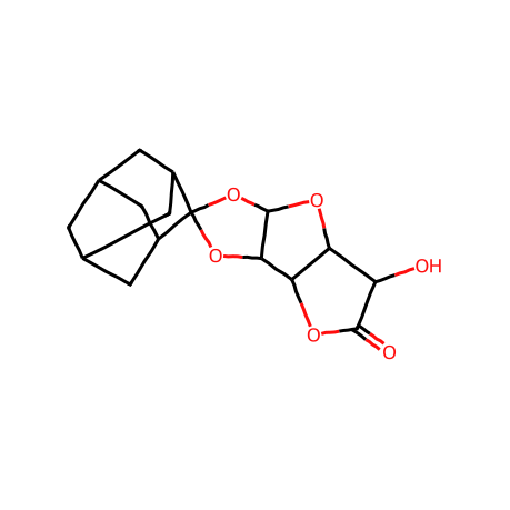 O=C1OC2C3OC4(OC3OC2C1O)C1CC2CC(C1)CC4C2